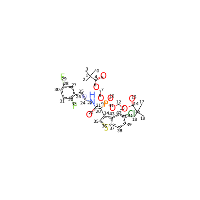 CC(C)(C)C(=O)OCOP(=O)(OCOC(=O)C(C)(C)C)C(C(=O)N/C=C/c1cc(F)ccc1F)c1csc2ccc(Cl)cc12